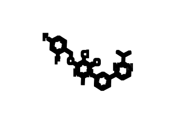 Cc1nc(OCc2ccc(F)cc2F)c(Cl)c(=O)n1-c1cccc(-c2ccnc(C(C)C)n2)c1